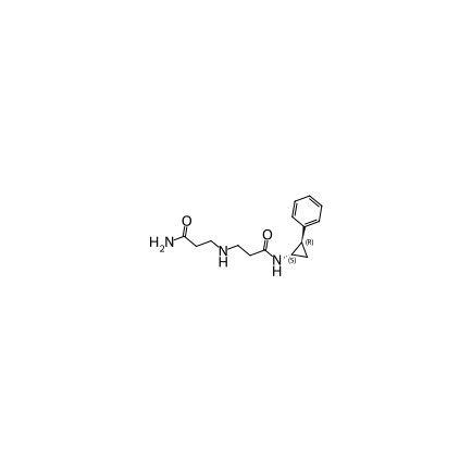 NC(=O)CCNCCC(=O)N[C@H]1C[C@@H]1c1ccccc1